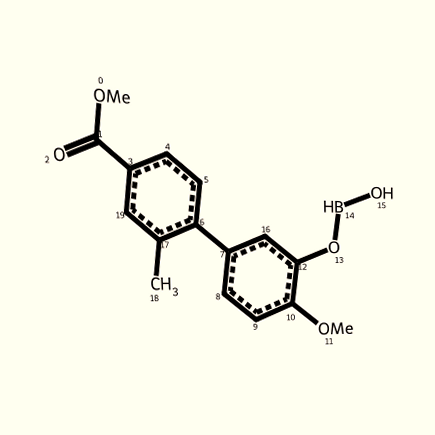 COC(=O)c1ccc(-c2ccc(OC)c(OBO)c2)c(C)c1